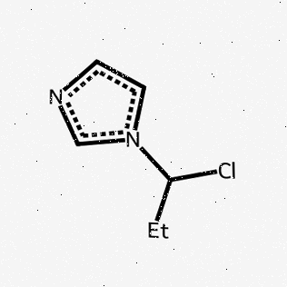 CCC(Cl)n1ccnc1